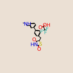 CNCc1cccc(-c2ccc(CC3SC(=O)NC3=O)cc2)c1.O=C(O)C(F)(F)F